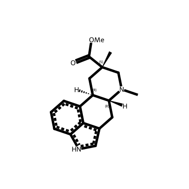 COC(=O)[C@@]1(C)C[C@@H]2c3cccc4[nH]cc(c34)C[C@H]2N(C)C1